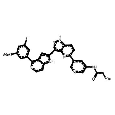 COc1cc(F)cc(-c2nccc3[nH]c(-c4n[nH]c5ccc(-c6cncc(NC(=O)CC(C)(C)C)c6)nc45)cc23)c1